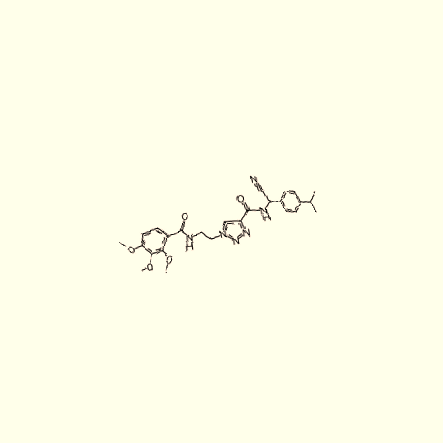 COc1ccc(C(=O)NCCn2cc(C(=O)NC(C#N)c3ccc(C(C)C)cc3)nn2)c(OC)c1OC